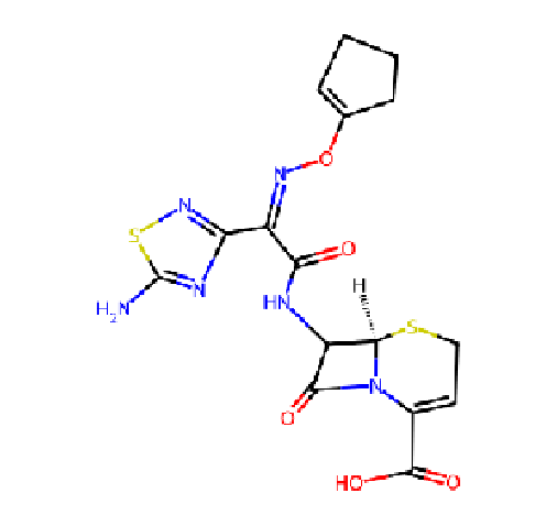 Nc1nc(/C(=N/OC2=CCCC2)C(=O)NC2C(=O)N3C(C(=O)O)=CCS[C@H]23)ns1